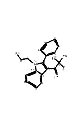 O=C(c1c(-c2ccccc2)n(CCF)c2ccccc12)C(F)(F)F